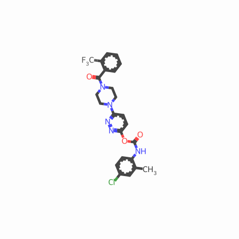 Cc1cc(Cl)ccc1NC(=O)Oc1ccc(N2CCN(C(=O)c3ccccc3C(F)(F)F)CC2)nn1